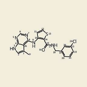 Cc1c[nH]c2ncnc(Nc3ccsc3C(=O)NCc3cccc(Cl)c3)c12